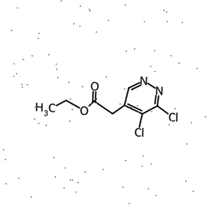 CCOC(=O)Cc1cnnc(Cl)c1Cl